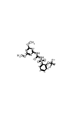 COc1nc(NC(=O)NS(=O)(=O)c2ccccc2OC(F)(F)F)nc(OC)n1